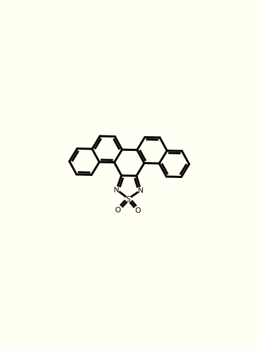 O=S1(=O)N=c2c(c3c4ccccc4ccc3c3ccc4ccccc4c23)=N1